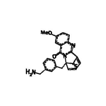 COc1ccc2nc3n(c(=O)c2c1)C1(Cc2cccc(CN)c2)C=CC=C3C1=S